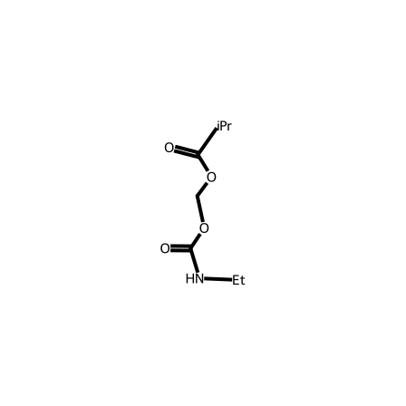 CCNC(=O)OCOC(=O)C(C)C